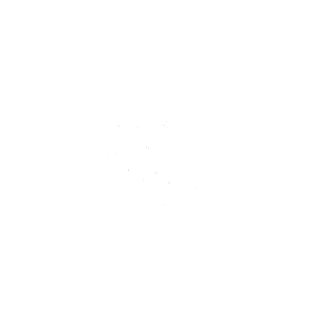 CC(=O)OC1(C)CCCC1n1c(=O)c(C(C)=O)c(C)c2cnc([S+](C)[O-])nc21